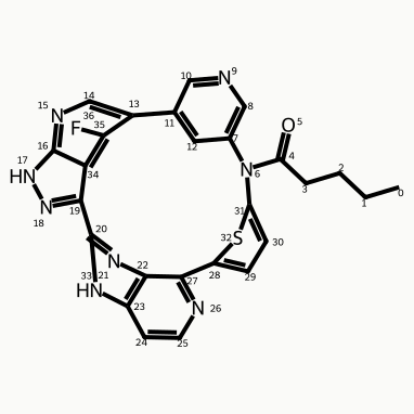 CCCCC(=O)n1c2cncc(c2)c2cnc3[nH]nc(c4nc5c(ccnc5c5ccc1s5)[nH]4)c3c2F